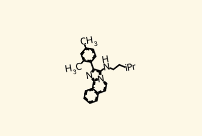 Cc1ccc(-c2nc3c4ccccc4ccn3c2NCCC(C)C)c(C)c1